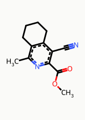 COC(=O)c1nc(C)c2c(c1C#N)CCCC2